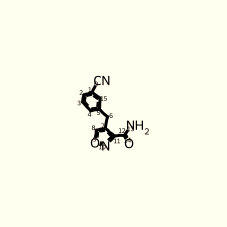 N#Cc1cccc(Cc2conc2C(N)=O)c1